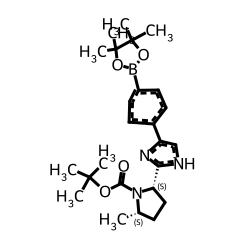 C[C@H]1CC[C@@H](c2nc(-c3ccc(B4OC(C)(C)C(C)(C)O4)cc3)c[nH]2)N1C(=O)OC(C)(C)C